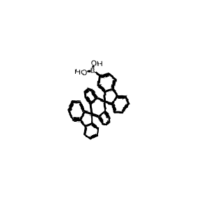 OB(O)c1ccc2c(c1)C1(c3ccccc3-2)c2ccccc2C2(c3ccccc3-c3ccccc32)c2ccccc21